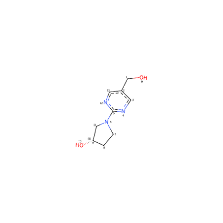 OCc1cnc(N2CC[C@H](O)C2)nc1